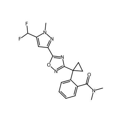 CN(C)C(=O)c1ccccc1C1(c2noc(-c3cc(C(F)F)n(C)n3)n2)CC1